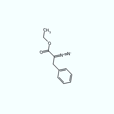 CCOC(=O)C(Cc1ccccc1)=[N+]=[N-]